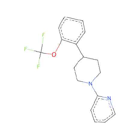 FC(F)(F)Oc1ccccc1C1CCN(c2ccccn2)CC1